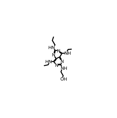 CCCNc1nc(NCC)c2nc(NCCO)nc(NCC)c2n1